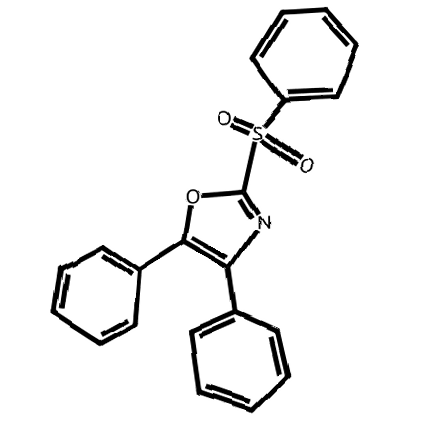 O=S(=O)(c1ccccc1)c1nc(-c2ccccc2)c(-c2ccccc2)o1